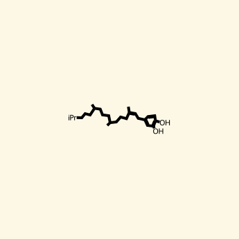 CC(=CCc1ccc(O)c(O)c1)CCCC(C)CCCC(C)CCCC(C)C